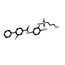 O=C(Nc1ccc(O)c(NS(=O)(=O)CCCO)c1)c1ccc(-c2ccccc2)c(F)c1